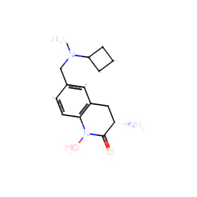 CN(Cc1ccc2c(c1)C[C@H](N)C(=O)N2O)C1CCC1